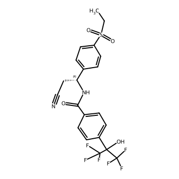 CCS(=O)(=O)c1ccc([C@@H](CC#N)NC(=O)c2ccc(C(O)(C(F)(F)F)C(F)(F)F)cc2)cc1